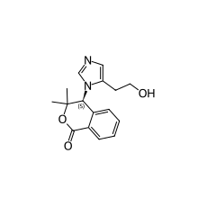 CC1(C)OC(=O)c2ccccc2[C@@H]1n1cncc1CCO